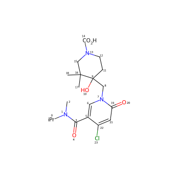 CC(C)N(C)C(=O)c1cn(CC2(O)CCN(C(=O)O)CC2(C)C)c(=O)cc1Cl